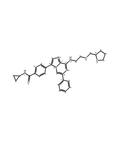 O=C(NC1CC1)c1ccc(-c2cnc3c(NCCOCC4CCCO4)nc(-c4ccccc4)cn23)cc1